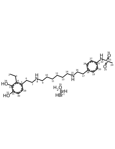 Br.Br.CCc1c(CCNCCCCCCNCCc2ccc(NS(C)(=O)=O)cc2)ccc(O)c1O.O